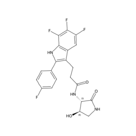 O=C(CCc1c(-c2ccc(F)cc2)[nH]c2c(F)c(F)c(F)cc12)N[C@@H]1C(=O)NC[C@H]1O